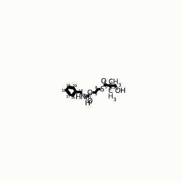 CC(C)(CO)C(=O)SCCO[PH](=O)NCc1ccccc1